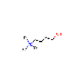 CC[N+](CC)(CC)CCCCO